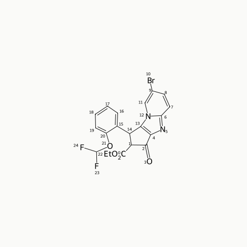 CCOC(=O)C1C(=O)c2nc3ccc(Br)cn3c2C1c1ccccc1OC(F)F